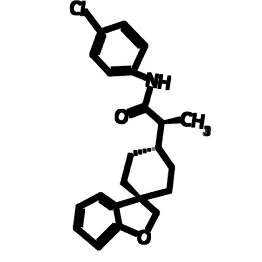 C[C@H](C(=O)Nc1ccc(Cl)cc1)[C@H]1CC[C@@]2(CC1)COc1ccccc12